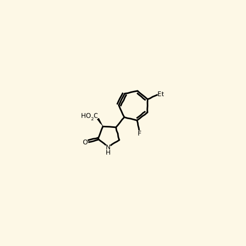 CCC1=CC#CC(C2CNC(=O)[C@H]2C(=O)O)C(F)=C1